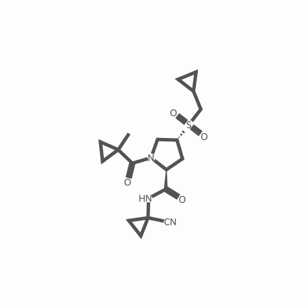 CC1(C(=O)N2C[C@H](S(=O)(=O)CC3CC3)C[C@H]2C(=O)NC2(C#N)CC2)CC1